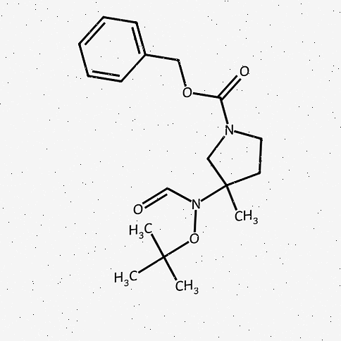 CC(C)(C)ON(C=O)C1(C)CCN(C(=O)OCc2ccccc2)C1